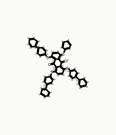 O=C1c2c(Sc3ccccc3)ccc(Sc3ccc(-c4ccccc4)cc3)c2C(=O)c2c(Sc3ccc(-c4ccccc4)cc3)ccc(Sc3ccc(-c4ccccc4)cc3)c21